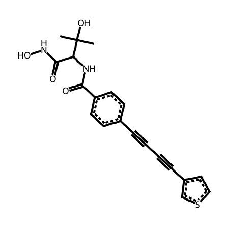 CC(C)(O)C(NC(=O)c1ccc(C#CC#Cc2ccsc2)cc1)C(=O)NO